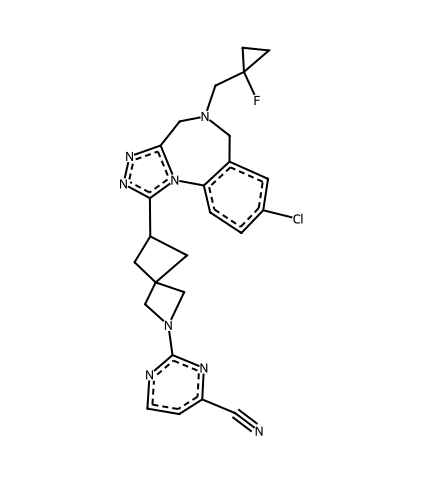 N#Cc1ccnc(N2CC3(CC(c4nnc5n4-c4ccc(Cl)cc4CN(CC4(F)CC4)C5)C3)C2)n1